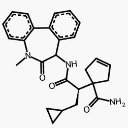 CN1C(=O)C(NC(=O)[C@H](CC2CC2)C2(C(N)=O)CC=CC2)c2ccccc2-c2ccccc21